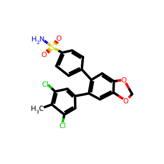 Cc1c(Cl)cc(-c2cc3c(cc2-c2ccc(S(N)(=O)=O)cc2)OCO3)cc1Cl